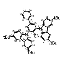 CC(C)(C)c1ccc2c(c1)c1cc(C(C)(C)C)ccc1n2-c1cc(-c2ccccc2)cc(-n2c3ccc(C(C)(C)C)cc3c3cc(C(C)(C)C)ccc32)c1C#N